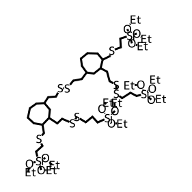 CCO[Si](CCCSSCCC1CC(CCSSCCC2CCCCC(CSCC[Si](OCC)(OCC)OCC)C(CCSSCCC[Si](OCC)(OCC)OCC)C2)CCCCC1CSCC[Si](OCC)(OCC)OCC)(OCC)OCC